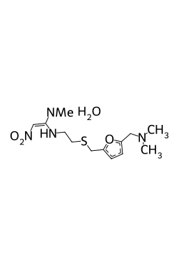 CN/C(=C/[N+](=O)[O-])NCCSCc1ccc(CN(C)C)o1.O